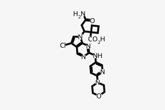 NC(=O)CC(n1cc(Cl)c2cnc(Nc3ccc(N4CCOCC4)nc3)nc21)C1(C(=O)O)CCC1